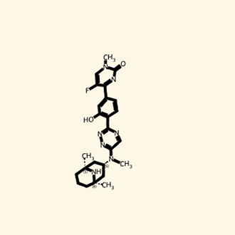 CN(c1cnc(-c2ccc(-c3nc(=O)n(C)cc3F)cc2O)nn1)[C@H]1C[C@]2(C)CCC[C@](C)(C1)N2